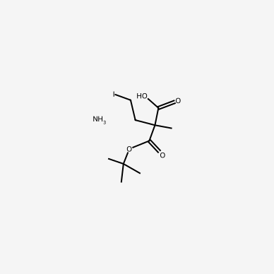 CC(C)(C)OC(=O)C(C)(CCI)C(=O)O.N